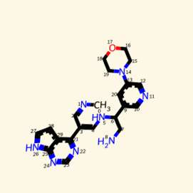 C/N=C\C(=C/NC(CN)c1cncc(N2CCOCC2)c1)c1ncnc2[nH]ccc12